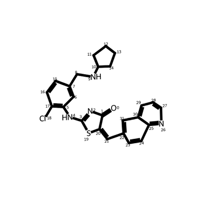 O=C1N=C(Nc2cc(CNC3CCCC3)ccc2Cl)SC1=Cc1ccc2ncccc2c1